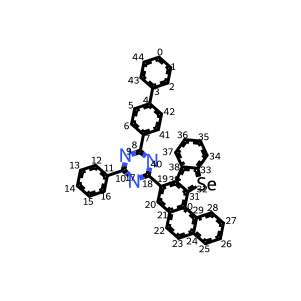 c1ccc(-c2ccc(-c3nc(-c4ccccc4)nc(-c4cc5ccc6ccccc6c5c5[se]c6ccccc6c45)n3)cc2)cc1